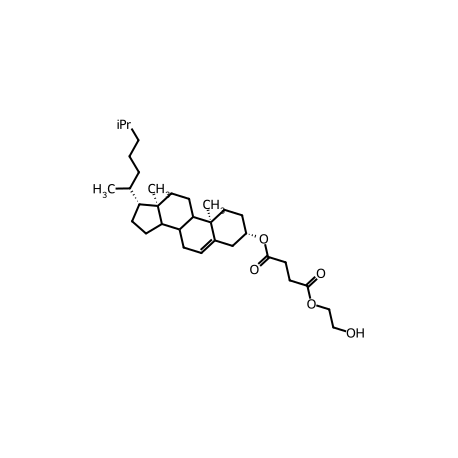 CC(C)CCCC(C)[C@H]1CCC2C3CC=C4C[C@@H](OC(=O)CCC(=O)OCCO)CC[C@]4(C)C3CC[C@@]21C